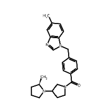 Cc1ccc2c(c1)ncn2Cc1ccc(C(=O)N2CCC(N3CCC[C@H]3C)C2)cc1